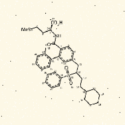 CSCC[C@H](NC(=O)c1ccc(CC(CCC2CCCCC2)S(=O)(=O)c2ccccc2)cc1-c1ccccc1C)C(=O)O